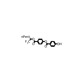 CCCCC[C@@H](OC(=O)c1ccc(OC(=O)c2ccc(O)cc2)cc1)C(F)(F)F